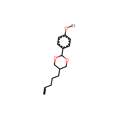 C=CCCCC1COC(c2ccc(OCC)cc2)OC1